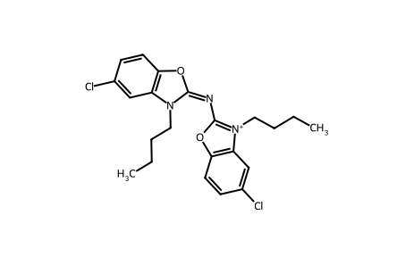 CCCCn1/c(=N\c2oc3ccc(Cl)cc3[n+]2CCCC)oc2ccc(Cl)cc21